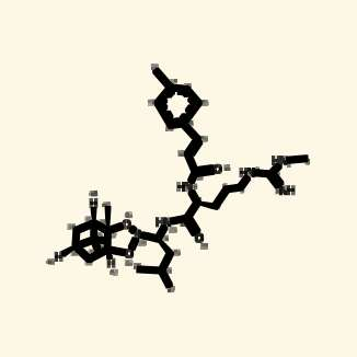 CNC(=N)NCCC[C@H](NC(=O)/C=C/c1ccc(C)cc1)C(=O)N[C@@H](CC(C)C)B1O[C@@H]2C[C@@H]3C[C@@H](C3(C)C)[C@]2(C)O1